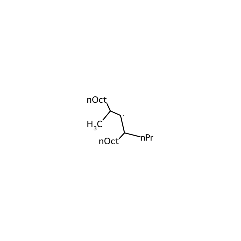 CCCCCCCCC(C)[CH]C(CCC)CCCCCCCC